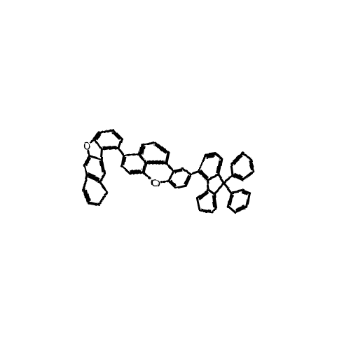 C1=Cc2cc3oc4cccc(-c5ccc6c7c(cccc57)-c5cc(-c7cccc8c7-c7ccccc7C8(c7ccccc7)c7ccccc7)ccc5O6)c4c3cc2CC1